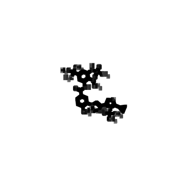 COc1c(NC(=O)c2ccc(C)c(N3C=C(c4cnc(C5CC5)n4C(C)(C)C)NN3)c2)cc(C(C)(C)C)cc1NS(C)(=O)=O